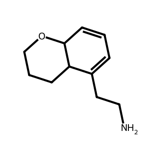 NCCC1=CC=CC2OCCCC12